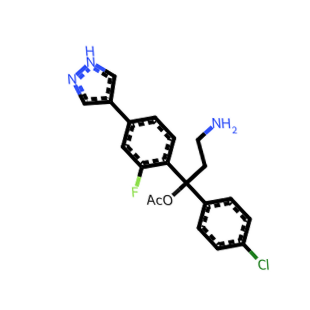 CC(=O)OC(CCN)(c1ccc(Cl)cc1)c1ccc(-c2cn[nH]c2)cc1F